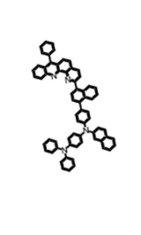 c1ccc(-c2c3ccccc3nc3c2ccc2ccc(-c4ccc(-c5ccc(N(c6ccc(N(c7ccccc7)c7ccccc7)cc6)c6ccc7ccccc7c6)cc5)c5ccccc45)nc23)cc1